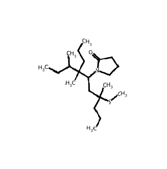 CCCC(C)(CC(N1CCCC1=O)C(C)(CCC)C(C)CC)SC